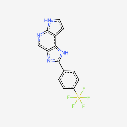 FS(F)(F)(F)(F)c1ccc(-c2nc3cnc4[nH]ccc4c3[nH]2)cc1